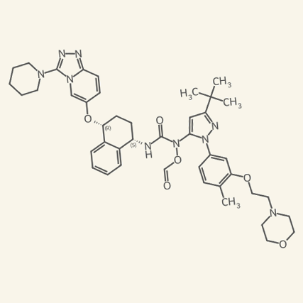 Cc1ccc(-n2nc(C(C)(C)C)cc2N(OC=O)C(=O)N[C@H]2CC[C@@H](Oc3ccc4nnc(N5CCCCC5)n4c3)c3ccccc32)cc1OCCN1CCOCC1